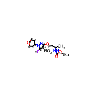 CC(CCOc1nn(C2CCOCC2)c(I)c1[N+](=O)[O-])NC(=O)OC(C)(C)C